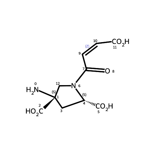 N[C@@]1(C(=O)O)C[C@@H](C(=O)O)N(C(=O)/C=C\C(=O)O)C1